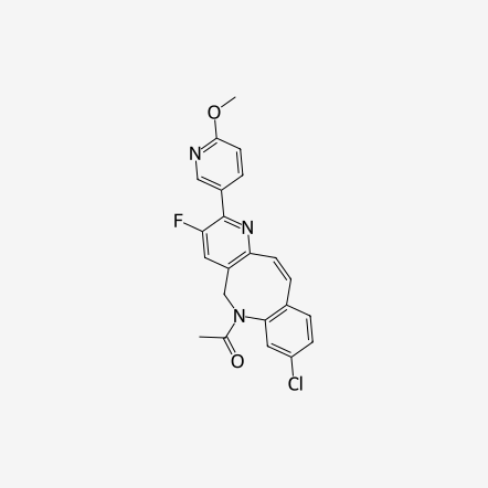 COc1ccc(-c2nc3c(cc2F)CN(C(C)=O)c2cc(Cl)ccc2C=C3)cn1